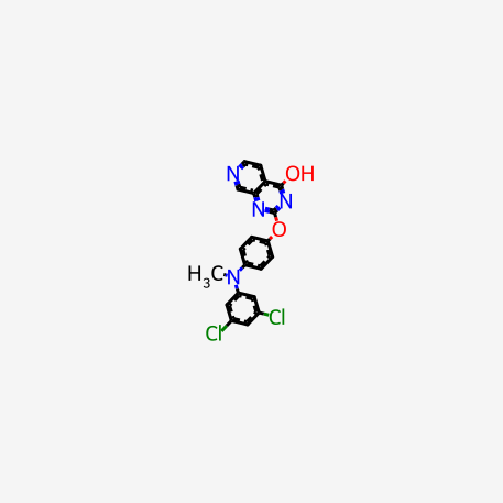 CN(c1ccc(Oc2nc(O)c3ccncc3n2)cc1)c1cc(Cl)cc(Cl)c1